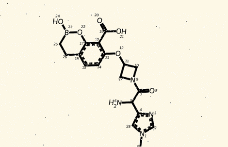 Cn1cnc(C(N)C(=O)N2CC(Oc3ccc4c(c3C(=O)O)OB(O)CC4)C2)c1